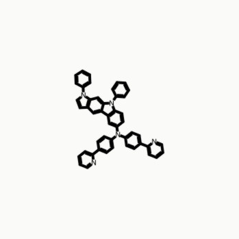 c1ccc(-n2ccc3cc4c5cc(N(c6ccc(-c7ccccn7)cc6)c6ccc(-c7ccccn7)cc6)ccc5n(-c5ccccc5)c4cc32)cc1